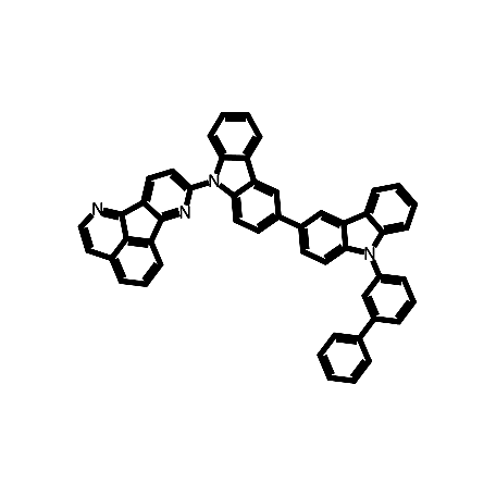 c1ccc(-c2cccc(-n3c4ccccc4c4cc(-c5ccc6c(c5)c5ccccc5n6-c5ccc6c(n5)-c5cccc7ccnc-6c57)ccc43)c2)cc1